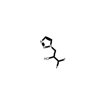 OC(Cn1ccnn1)C(F)F